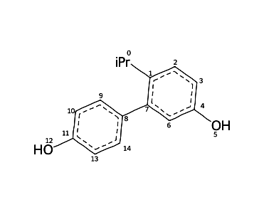 CC(C)c1ccc(O)cc1-c1ccc(O)cc1